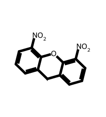 O=[N+]([O-])c1cccc2c1Oc1c(cccc1[N+](=O)[O-])[CH]2